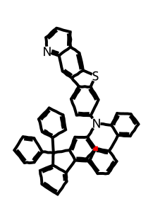 c1ccc(-c2ccccc2N(c2ccc3c(c2)C(c2ccccc2)(c2ccccc2)c2ccccc2-3)c2ccc3c(c2)sc2cc4cccnc4cc23)cc1